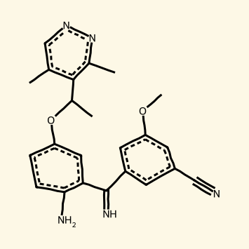 COc1cc(C#N)cc(C(=N)c2cc(OC(C)c3c(C)cnnc3C)ccc2N)c1